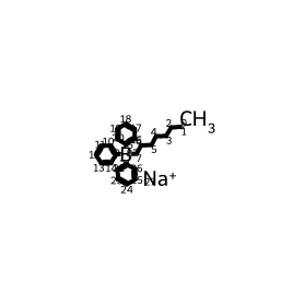 CCCCCCCC[B-](c1ccccc1)(c1ccccc1)c1ccccc1.[Na+]